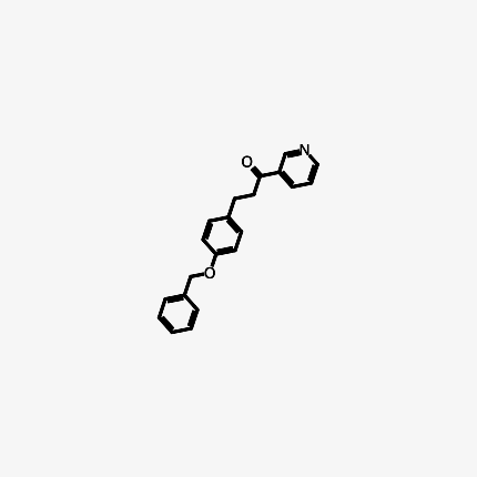 O=C(CCc1ccc(OCc2ccccc2)cc1)c1cccnc1